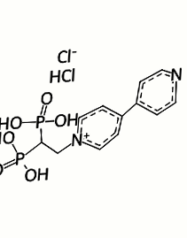 Cl.O=P(O)(O)C(C[n+]1ccc(-c2ccncc2)cc1)P(=O)(O)O.[Cl-]